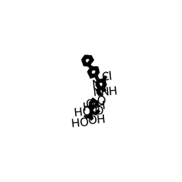 OCC(O)[C@@]1(O)CO[C@H]2[C@H]1OC[C@H]2Oc1nc2nc(-c3ccc(-c4ccccc4)cc3)c(Cl)cc2[nH]1